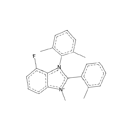 Cc1ccccc1-c1n(-c2c(C)cccc2C)c2c(F)cccc2[n+]1C